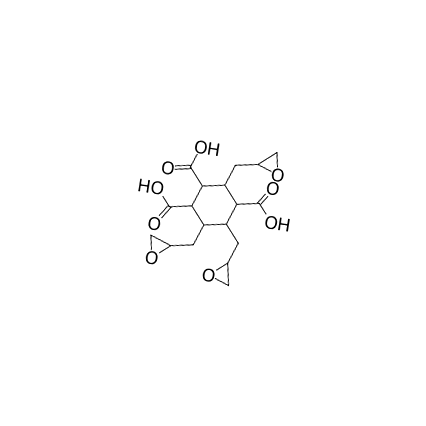 O=C(O)C1C(CC2CO2)C(CC2CO2)C(C(=O)O)C(C(=O)O)C1CC1CO1